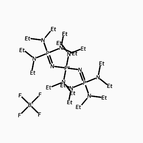 CCN(CC)P(=N[P+](N=P(N(CC)CC)(N(CC)CC)N(CC)CC)(N(CC)CC)N(CC)CC)(N(CC)CC)N(CC)CC.F[B-](F)(F)F